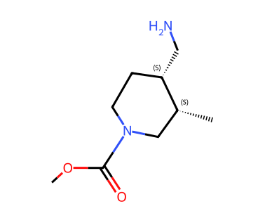 COC(=O)N1CC[C@H](CN)[C@H](C)C1